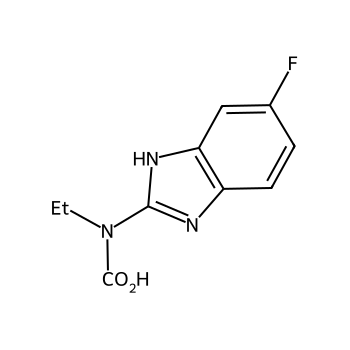 CCN(C(=O)O)c1nc2ccc(F)cc2[nH]1